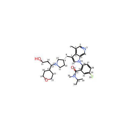 Cc1cncc2c1c(C[C@@H]1CCN([C@H](CCO)C3CCOCC3)C1)cn2-c1ccc(F)cc1C(=O)N(C)C(C)C